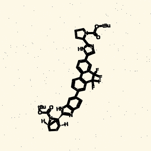 CC(C)(C)OC(=O)N1CCCC1c1ncc(-c2ccc3c(c2)C(F)(F)C(F)(F)c2cc(-c4ccc5nc([C@@H]6[C@H]7CC[C@H](C7)N6C(=O)OC(C)(C)C)[nH]c5c4)ccc2-3)[nH]1